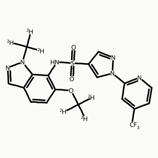 [2H]C([2H])([2H])Oc1ccc2cnn(C([2H])([2H])[2H])c2c1NS(=O)(=O)c1cnn(-c2cc(C(F)(F)F)ccn2)c1